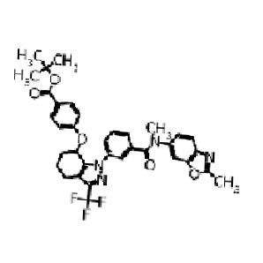 Cc1nc2ccc(N(C)C(=O)c3cccc(-n4nc(C(F)(F)F)c5c4C(Oc4ccc(C(=O)OC(C)(C)C)cc4)CCC5)c3)cc2o1